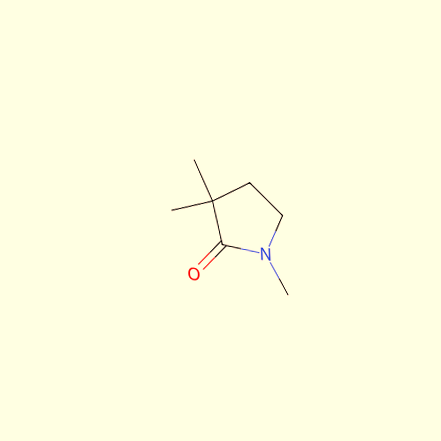 CN1CCC(C)(C)C1=O